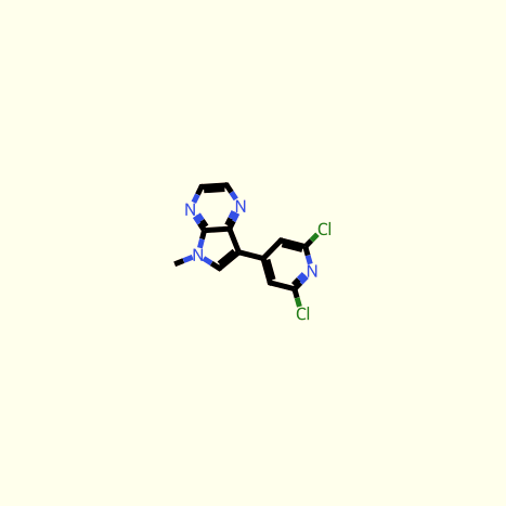 Cn1cc(-c2cc(Cl)nc(Cl)c2)c2nccnc21